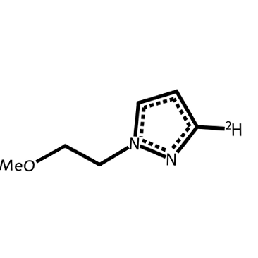 [2H]c1ccn(CCOC)n1